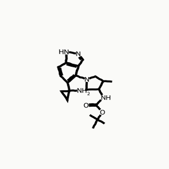 CC1CN(c2c(C3(N)CC3)ccc3[nH]ncc23)CC1NC(=O)OC(C)(C)C